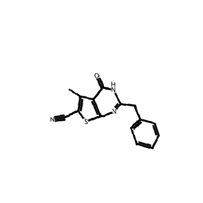 Cc1c(C#N)sc2nc(Cc3ccccc3)[nH]c(=O)c12